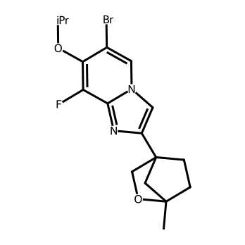 CC(C)Oc1c(Br)cn2cc(C34CCC(C)(C3)OC4)nc2c1F